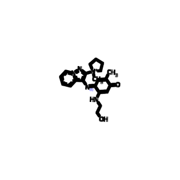 CC1=C/C(=N\c2c([N+]3(C)CCCC3)nn3ccccc23)C(NCCO)=CC1=O